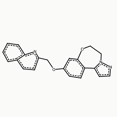 c1ccc2nc(COc3ccc4c(c3)OCCn3nccc3-4)ccc2c1